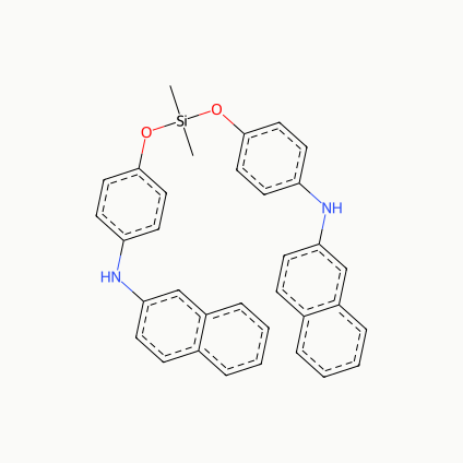 C[Si](C)(Oc1ccc(Nc2ccc3ccccc3c2)cc1)Oc1ccc(Nc2ccc3ccccc3c2)cc1